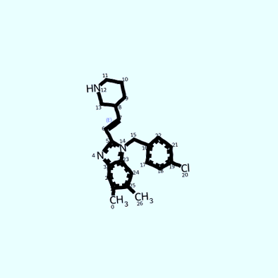 Cc1cc2nc(/C=C/C3CCCNC3)n(Cc3ccc(Cl)cc3)c2cc1C